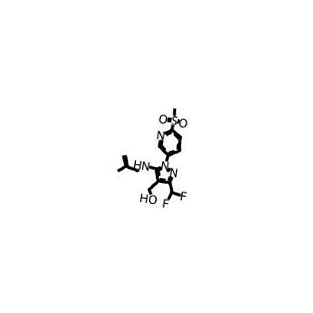 C=C(C)CNc1c(CO)c(C(F)F)nn1-c1ccc(S(C)(=O)=O)nc1